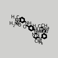 Cc1ccc(NC(=O)c2ccc(Nc3ncc(C)c(Nc4cccc(S(=O)(=O)NC(C)(C)C)c4)n3)cc2)cc1S(N)(=O)=O